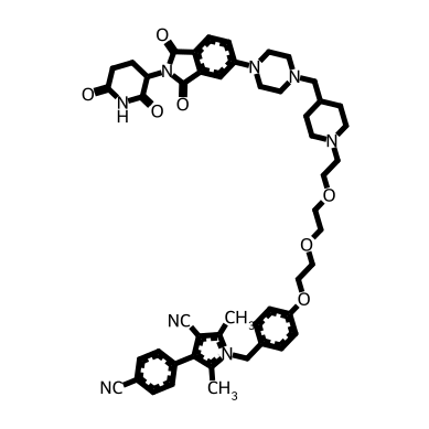 Cc1c(C#N)c(-c2ccc(C#N)cc2)c(C)n1Cc1ccc(OCCOCCOCCN2CCC(CN3CCN(c4ccc5c(c4)C(=O)N(C4CCC(=O)NC4=O)C5=O)CC3)CC2)cc1